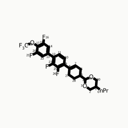 CCCC1COC(C2CC=C(c3ccc(-c4cc(F)c(OC(F)(F)F)c(F)c4)c(F)c3F)CC2)OC1